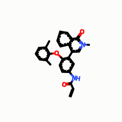 C=CC(=O)Nc1ccc(Oc2c(C)cccc2C)c(-c2cn(C)c(=O)c3ccccc23)c1